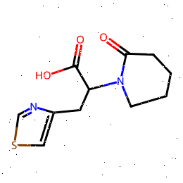 O=C(O)C(Cc1cscn1)N1CCCCC1=O